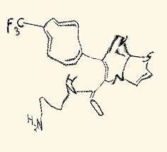 NCCNC(=O)c1c(-c2ccc(C(F)(F)F)cc2)nc2sccn12